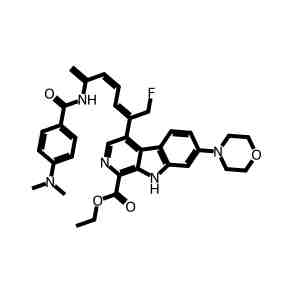 C=C(/C=C\C=C(/CF)c1cnc(C(=O)OCC)c2[nH]c3cc(N4CCOCC4)ccc3c12)NC(=O)c1ccc(N(C)C)cc1